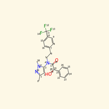 Cc1cc(N(CCc2ccc(C(F)(F)F)cc2)C(=O)[C@H](O)c2ccccc2)n(C)n1